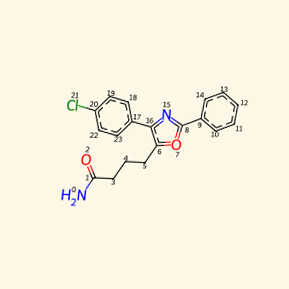 NC(=O)CCCc1oc(-c2ccccc2)nc1-c1ccc(Cl)cc1